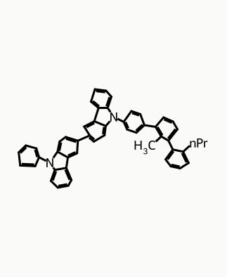 CCCc1ccccc1-c1cccc(-c2ccc(-n3c4ccccc4c4cc(-c5ccc6c(c5)c5ccccc5n6-c5ccccc5)ccc43)cc2)c1C